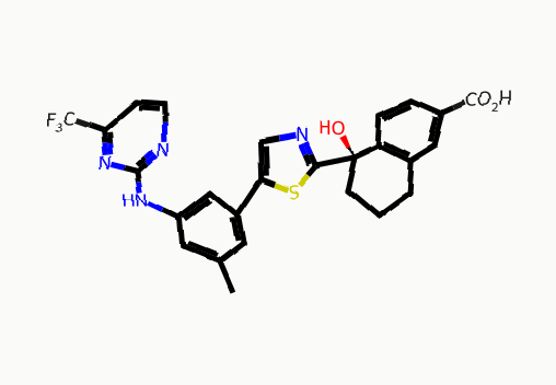 Cc1cc(Nc2nccc(C(F)(F)F)n2)cc(-c2cnc([C@@]3(O)CCCc4cc(C(=O)O)ccc43)s2)c1